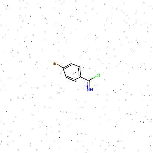 N=C(Cl)c1ccc(Br)cc1